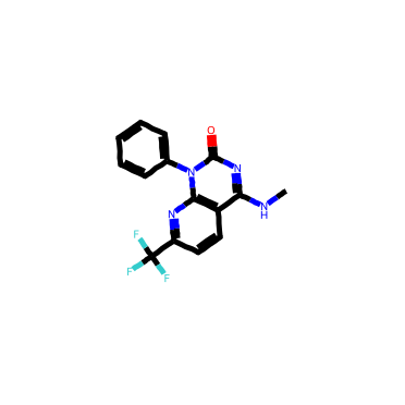 CNc1nc(=O)n(-c2ccccc2)c2nc(C(F)(F)F)ccc12